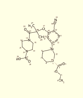 CCOC(=O)[C@@H]1CCCN(c2ccc(C#N)c(OC(C)(C)C(=O)N3CCN(C(=O)O)CC3)c2)C1